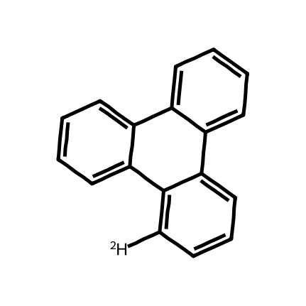 [2H]c1cccc2c3ccccc3c3ccccc3c12